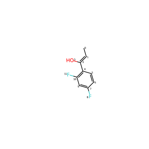 CC=C(O)c1ccc(F)cc1F